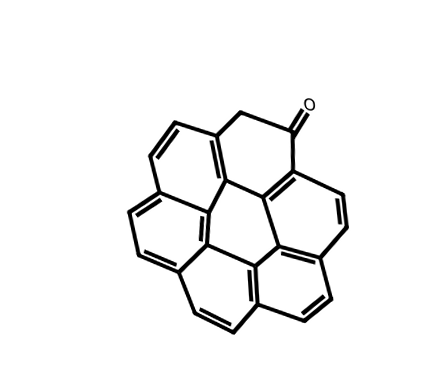 O=C1Cc2ccc3ccc4ccc5ccc6ccc1c1c2c3c4c5c61